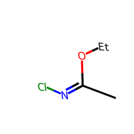 CCO/C(C)=N\Cl